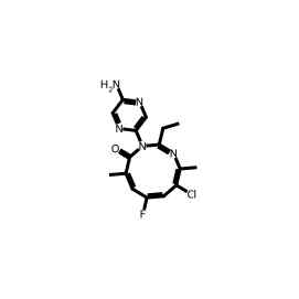 CCc1nc(C)c(Cl)cc(F)cc(C)c(=O)n1-c1cnc(N)cn1